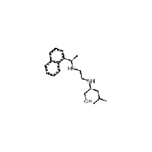 CC(C)C[C@@H](CO)NCCN[C@H](C)c1cccc2ccccc12